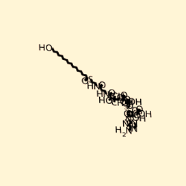 CC(C)(COP(=O)(O)OP(=O)(O)OC[C@H]1O[C@@H](n2cnc3c(N)ncnc32)[C@H](O)[C@@H]1OP(=O)(O)O)C(O)C(=O)NCCC(=O)NCCSC(=O)CCCCCCCCCCCCCCCO